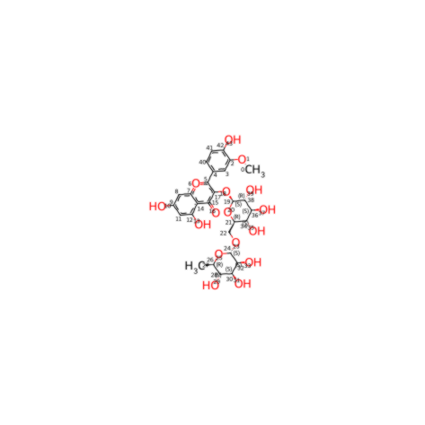 COc1cc(-c2oc3cc(O)cc(O)c3c(=O)c2O[C@@H]2O[C@H](CO[C@H]3O[C@H](C)[C@@H](O)[C@H](O)[C@@H]3O)[C@@H](O)[C@H](O)[C@H]2O)ccc1O